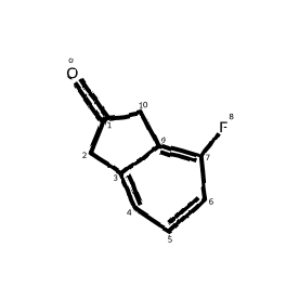 O=C1Cc2cccc(F)c2C1